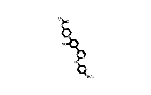 CC(=O)Nc1ccc(Nc2nccc(-c3ccc(N4CCC(OC(N)=O)CC4)c(C#N)c3)n2)cn1